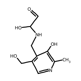 Cc1ncc(CO)c(CNC(O)C=O)c1O